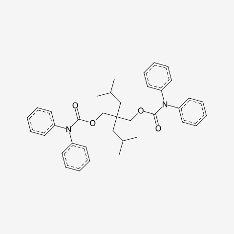 CC(C)CC(COC(=O)N(c1ccccc1)c1ccccc1)(COC(=O)N(c1ccccc1)c1ccccc1)CC(C)C